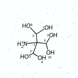 NC(C(O)O)(C(O)O)C(O)O